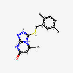 CCCc1cc(=O)[nH]c2nnc(SCc3cc(C)ccc3C)n12